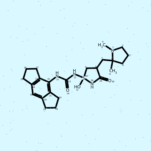 CN1CCCC1(C)CC1CS(O)(NC(=O)Nc2c3c(cc4c2CCC4)CCC3)NC1=O